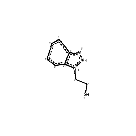 SCCn1nnc2ccccc21